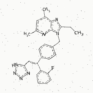 CCc1nc2c(C)cc(C)nc2n1Cc1ccc(C(=Cc2nnn[nH]2)c2ccccc2F)cc1